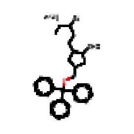 CCC(CCC1CC(COC(c2ccccc2)(c2ccccc2)c2ccccc2)CC1C=O)[C@H](C)NC(C)=O